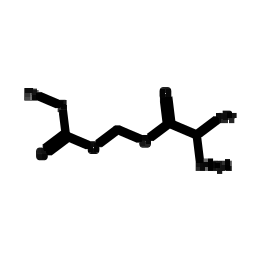 CCCCCCCC(CCC)C(=O)OCOC(=O)SCC